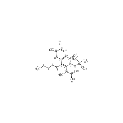 CCCCOc1c(N(C)C(=O)O)n(CC(C)(C)C)c(=O)c2cc(Cl)c(Cl)cc12